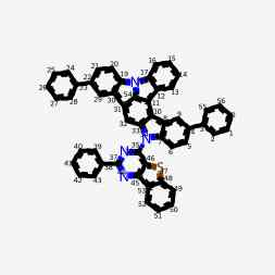 c1ccc(-c2ccc3c(c2)c2c4c5ccccc5n5c6ccc(-c7ccccc7)cc6c(cc2n3-c2nc(-c3ccccc3)nc3c2sc2ccccc23)c45)cc1